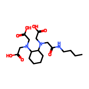 CCCCNC(=O)CN(CC(=O)O)C1CCCCC1N(CC(=O)O)CC(=O)O